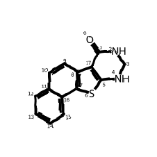 O=C1NCNc2sc3c(ccc4ccccc43)c21